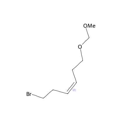 COCOCC/C=C\CCBr